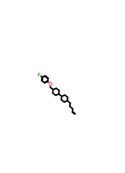 C=CCCCC1CCC(C2CCC(COc3ccc(F)cc3)CC2)CC1